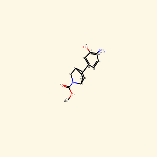 CC(C)(C)OC(=O)N1CC2CCC1CC2c1ccc(N)c(O)c1